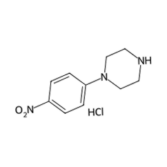 Cl.O=[N+]([O-])c1ccc(N2CCNCC2)cc1